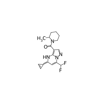 CC1CCCCN1C(=O)c1cnn2c1NC(=C1C=C1)C=C2C(F)F